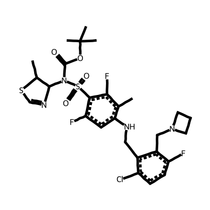 Cc1c(NCc2c(Cl)ccc(F)c2CN2CCC2)cc(F)c(S(=O)(=O)N(C(=O)OC(C)(C)C)C2N=CSC2C)c1F